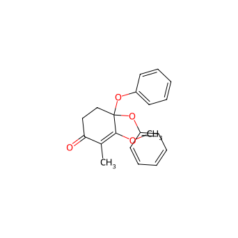 COC1=C(C)C(=O)CCC1(Oc1ccccc1)Oc1ccccc1